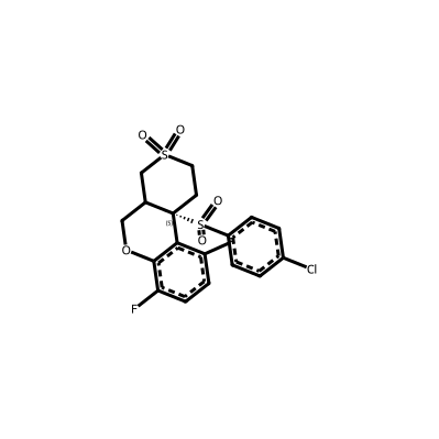 O=S1(=O)CC[C@@]2(S(=O)(=O)c3ccc(Cl)cc3)c3c(F)ccc(F)c3OCC2C1